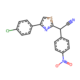 N#CC(c1ccc([N+](=O)[O-])cc1)c1nc(-c2ccc(Cl)cc2)cs1